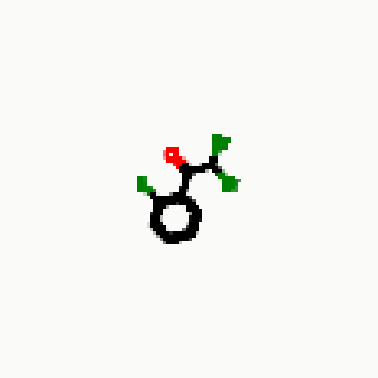 O=C(c1ccccc1F)C(Br)Br